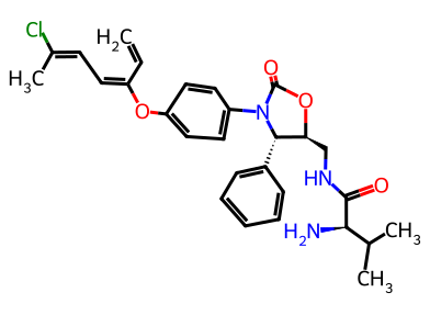 C=C/C(=C\C=C(/C)Cl)Oc1ccc(N2C(=O)O[C@@H](CNC(=O)[C@H](N)C(C)C)[C@@H]2c2ccccc2)cc1